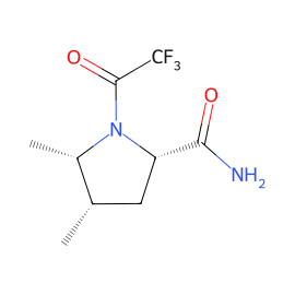 C[C@H]1C[C@@H](C(N)=O)N(C(=O)C(F)(F)F)[C@H]1C